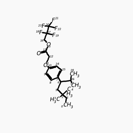 CCC(C)(C)CC(c1ccc(OCC(=O)OCC(F)(F)C(F)(F)F)cc1)C(C)C